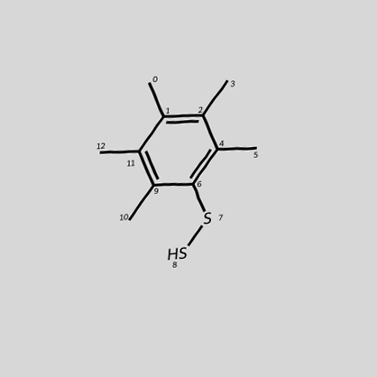 Cc1c(C)c(C)c(SS)c(C)c1C